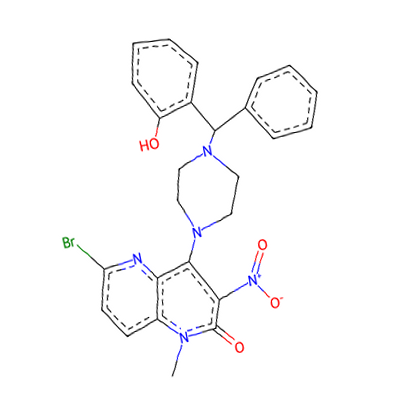 Cn1c(=O)c([N+](=O)[O-])c(N2CCN(C(c3ccccc3)c3ccccc3O)CC2)c2nc(Br)ccc21